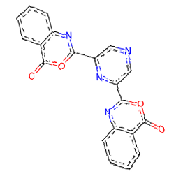 O=c1oc(-c2cncc(-c3nc4ccccc4c(=O)o3)n2)nc2ccccc12